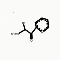 CCCCCC(Br)C(=O)c1ccccn1